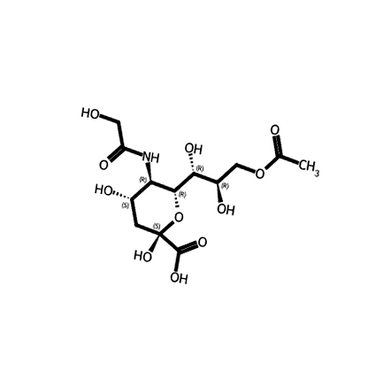 CC(=O)OC[C@@H](O)[C@@H](O)[C@@H]1O[C@](O)(C(=O)O)C[C@H](O)[C@H]1NC(=O)CO